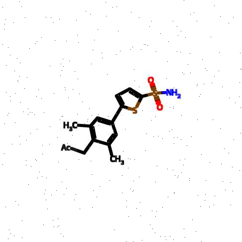 CC(=O)Cc1c(C)cc(-c2ccc(S(N)(=O)=O)s2)cc1C